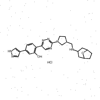 Cl.Oc1cc(-c2cn[nH]c2)ccc1-c1cnc(N2CCC(CNC3CC4CCC(C3)O4)C2)nn1